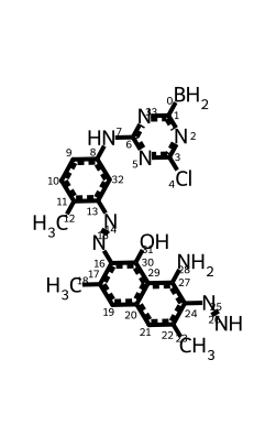 Bc1nc(Cl)nc(Nc2ccc(C)c(/N=N/c3c(C)cc4cc(C)c(N=N)c(N)c4c3O)c2)n1